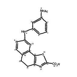 CC(=O)Nc1cccc(Nc2ncc3c(n2)-c2sc(C(=O)O)nc2CC3)c1